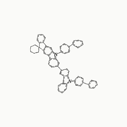 c1ccc(-c2ccc(-n3c4ccccc4c4cc(-c5ccc6c7cc8c(cc7n(-c7ccc(-c9ccccc9)cc7)c6c5)-c5ccccc5C85CCCCC5)ccc43)cc2)cc1